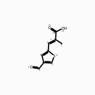 C/C(=C\c1cc(C=O)cs1)C(=O)O